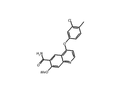 COc1cc2nccc(Oc3ccc(C)c(Cl)c3)c2cc1C(N)=O